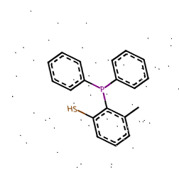 Cc1cccc(S)c1P(c1ccccc1)c1ccccc1